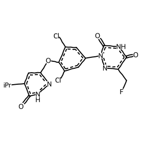 CC(C)c1cc(Oc2c(Cl)cc(-n3nc(CF)c(=O)[nH]c3=O)cc2Cl)n[nH]c1=O